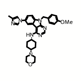 COc1ccc(Cn2c3ccc(-n4cnc(C)c4)cc3c3c(N[C@H]4CC[C@H](N5CCOCC5)CC4)ncnc32)cc1